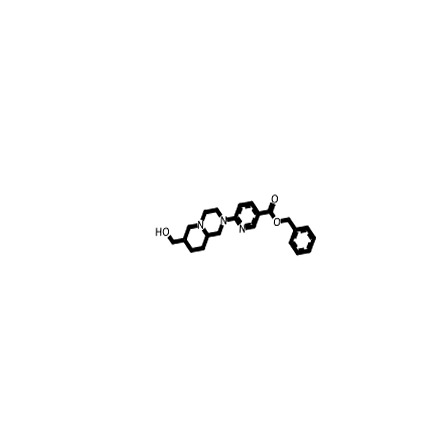 O=C(OCc1ccccc1)c1ccc(N2CCN3CC(CO)CCC3C2)nc1